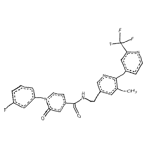 Cc1cc(CNC(=O)c2ccn(-c3cccc(F)c3)c(=O)c2)cnc1-c1ccnc(C(F)(F)F)c1